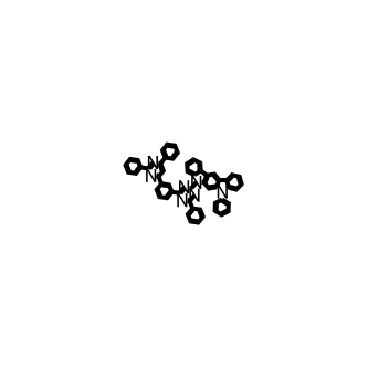 c1ccc(-c2cc(-c3cccc(-c4nc(-c5ccccc5)nc(-n5c6ccccc6c6cc7c8ccccc8n(-c8ccccc8)c7cc65)n4)c3)nc(-c3ccccc3)n2)cc1